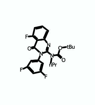 CCCN(C(=O)OC(C)(C)C)c1nc2cccc(F)c2c(=O)n1-c1cc(F)cc(F)c1